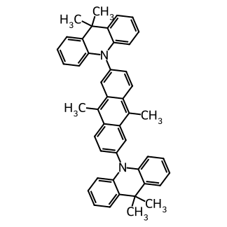 Cc1c2ccc(N3c4ccccc4C(C)(C)c4ccccc43)cc2c(C)c2ccc(N3c4ccccc4C(C)(C)c4ccccc43)cc12